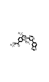 CNC(=O)c1ccc([C@H](C)CNc2cc(-c3ccc4scnc4c3)ncn2)c(OC)c1